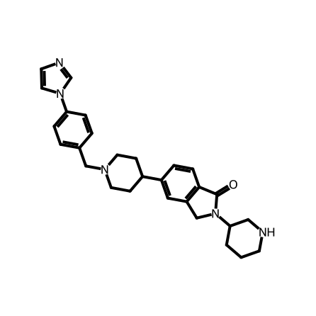 O=C1c2ccc(C3CCN(Cc4ccc(-n5ccnc5)cc4)CC3)cc2CN1C1CCCNC1